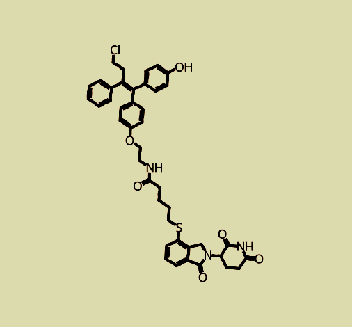 O=C(CCCCSc1cccc2c1CN(C1CCC(=O)NC1=O)C2=O)NCCOc1ccc(C(=C(CCCl)c2ccccc2)c2ccc(O)cc2)cc1